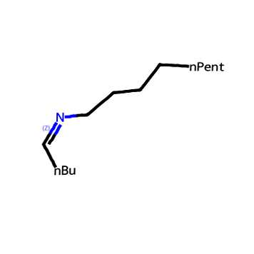 CCCC/C=N\CCCCCCCCC